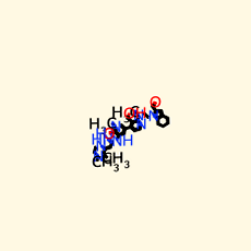 CC1/C(=C/C(=N)Nc2cc(-c3ccnc(N(C)CCn4c(C=O)cc5c4CCCC5)c3CO)cn(C)c2=O)NCCN1C